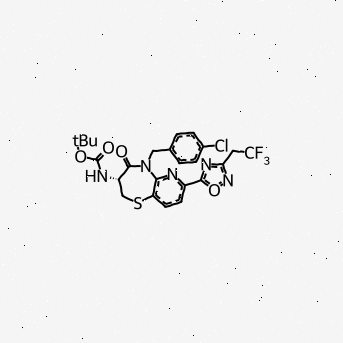 CC(C)(C)OC(=O)N[C@H]1CSc2ccc(-c3nc(CC(F)(F)F)no3)nc2N(Cc2ccc(Cl)cc2)C1=O